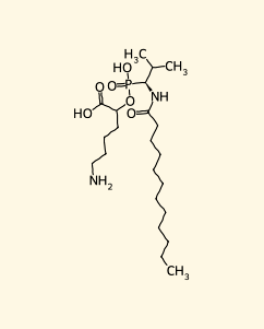 CCCCCCCCCCCC(=O)N[C@H](C(C)C)P(=O)(O)OC(CCCCN)C(=O)O